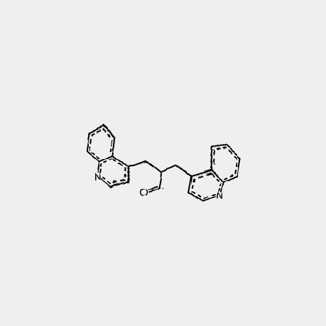 O=[C]C(Cc1ccnc2ccccc12)Cc1ccnc2ccccc12